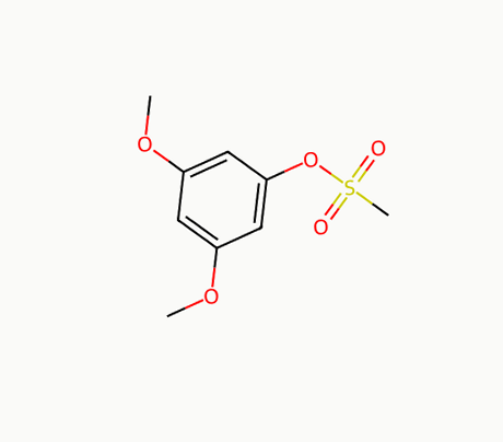 COc1cc(OC)cc(OS(C)(=O)=O)c1